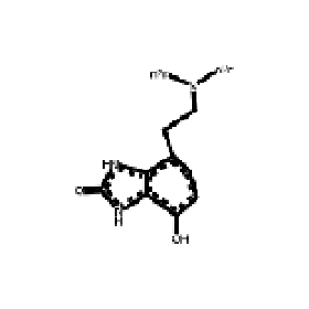 CCCN(CCC)CCc1ccc(O)c2[nH]c(=O)[nH]c12